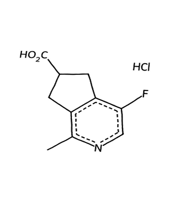 Cc1ncc(F)c2c1CC(C(=O)O)C2.Cl